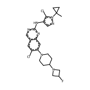 CC1(n2ncc(Nc3ncc4cc(Cl)c(N5CCC(N6CC(F)C6)CC5)cc4n3)c2Cl)CC1